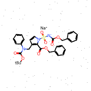 CC(C)(C)OC(=O)N(Cc1ccn(S(=O)(=O)[N-]C(=O)OCc2ccccc2)c1C(=O)OCc1ccccc1)c1ccccc1.[Na+]